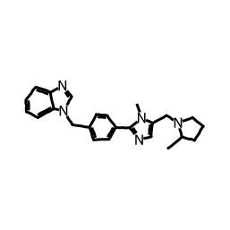 CC1CCCN1Cc1cnc(-c2ccc(Cn3cnc4ccccc43)cc2)n1C